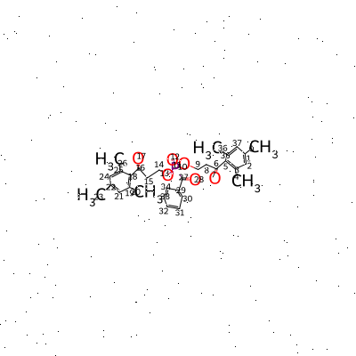 Cc1cc(C)c(C(=O)CCOP(=O)(OCCC(=O)c2c(C)cc(C)cc2C)C(=O)c2ccccc2)c(C)c1